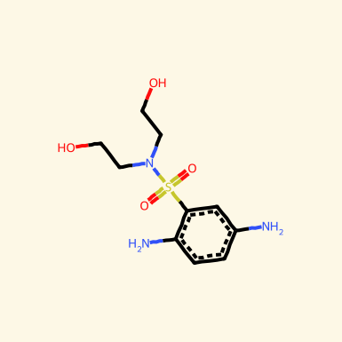 Nc1ccc(N)c(S(=O)(=O)N(CCO)CCO)c1